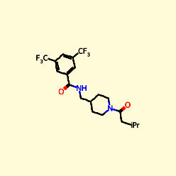 CC(C)CC(=O)N1CCC(CNC(=O)c2cc(C(F)(F)F)cc(C(F)(F)F)c2)CC1